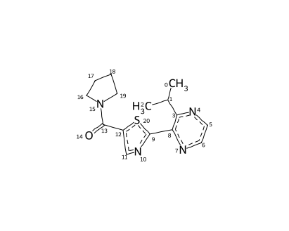 CC(C)c1nccnc1-c1ncc(C(=O)N2CCCC2)s1